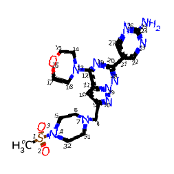 CS(=O)(=O)N1CCN(Cc2cc3c(N4CCOCC4)nc(-c4cnc(N)nc4)nn3n2)CC1